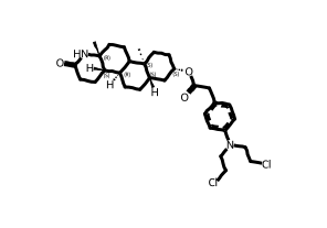 C[C@@]12CCC3[C@@H](CC[C@H]4C[C@@H](OC(=O)Cc5ccc(N(CCCl)CCCl)cc5)CC[C@]34C)[C@@H]1CCC(=O)N2